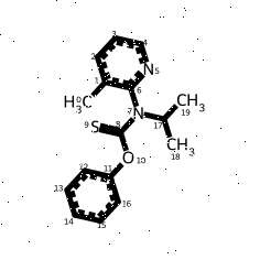 Cc1cccnc1N(C(=S)Oc1ccccc1)C(C)C